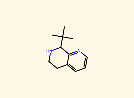 CC(C)(C)C1NCCc2cccnc21